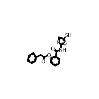 O=C(Cc1ccccc1)Oc1ccccc1C(=O)Nc1ncc(S)s1